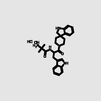 CC(C)(N)C(=O)NC(Cc1c[nH]c2ccccc12)C(=O)N1CCC2(CC1)CNc1ccccc12.Cl.Cl